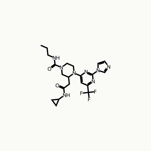 CCCNC(=O)N1CCN(c2cc(C(F)(F)F)nc(-n3ccnc3)n2)C(CC(=O)NC2CC2)C1